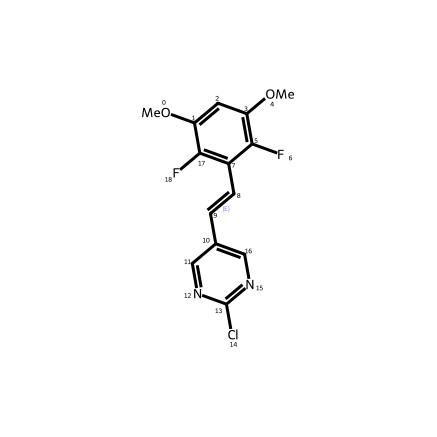 COc1cc(OC)c(F)c(/C=C/c2cnc(Cl)nc2)c1F